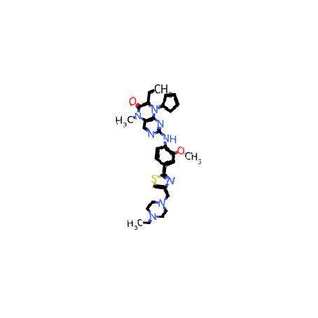 CCC1C(=O)N(C)c2cnc(Nc3ccc(-c4nc(CN5CCN(CC)CC5)cs4)cc3OC)nc2N1C1CCCC1